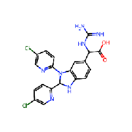 N=C(N)NC(C(=O)O)c1ccc2c(c1)N(c1ccc(Cl)cn1)C(c1ccc(Cl)cn1)N2